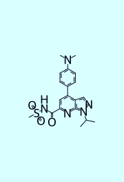 CC(C)n1ncc2c(-c3ccc(N(C)C)cc3)cc(C(=O)NS(C)(=O)=O)nc21